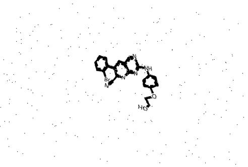 N#Cc1nc2nc(Nc3ccc(OCCO)cc3)ncc2cc1-c1ccccc1Br